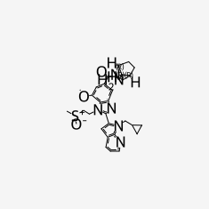 COc1cc(C(=O)N2C[C@H]3CC[C@@H]2[C@@H]3N)cc2nc(-c3cc4cccnc4n3CC3CC3)n(CC[S+](C)[O-])c12